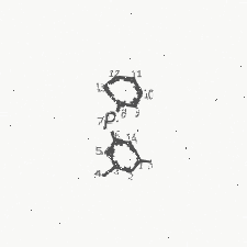 Cc1cc(C)cc([P]c2ccccc2)c1